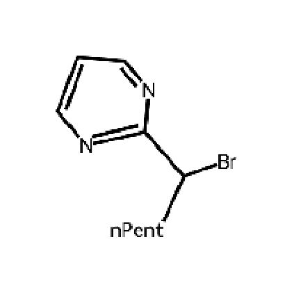 CCCCCC(Br)c1ncccn1